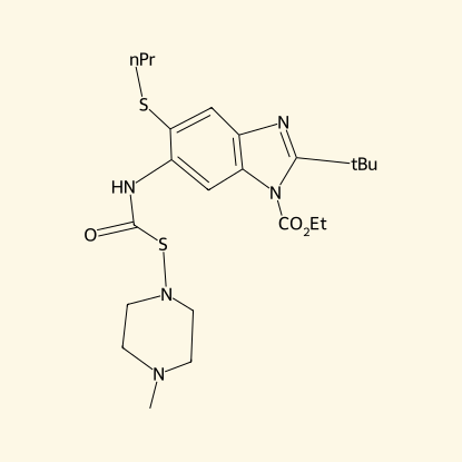 CCCSc1cc2nc(C(C)(C)C)n(C(=O)OCC)c2cc1NC(=O)SN1CCN(C)CC1